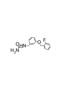 NC(=O)CNCc1cccc(OCc2ccccc2F)c1